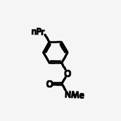 CCCc1ccc(OC(=O)NC)cc1